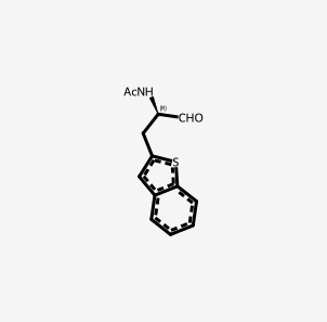 CC(=O)N[C@@H](C=O)Cc1cc2ccccc2s1